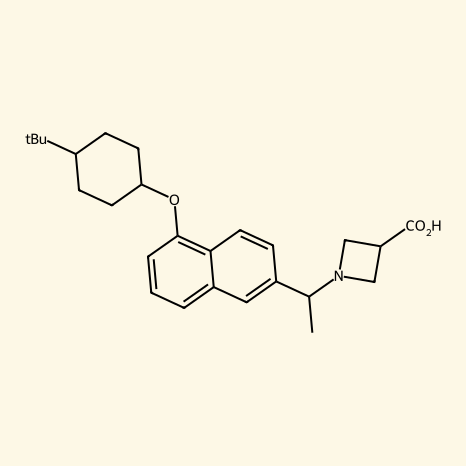 CC(c1ccc2c(OC3CCC(C(C)(C)C)CC3)cccc2c1)N1CC(C(=O)O)C1